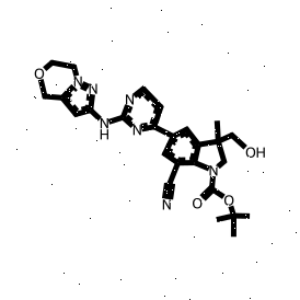 CC(C)(C)OC(=O)N1CC(C)(CO)c2cc(-c3ccnc(Nc4cc5n(n4)CCOC5)n3)cc(C#N)c21